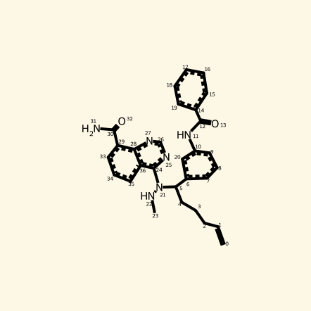 C=CCCCC(c1cccc(NC(=O)c2ccccc2)c1)N(NC)c1ncnc2c(C(N)=O)cccc12